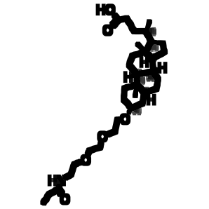 CCC(=O)NCCOCCOCCO[C@@H]1CC[C@@]2(C)[C@H](CC[C@@H]3[C@@H]2CC[C@]2(C)[C@@H]([C@H](C)CCC(=O)O)CC[C@@H]32)C1